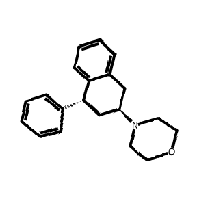 c1ccc([C@H]2C[C@H](N3CCOCC3)Cc3ccccc32)cc1